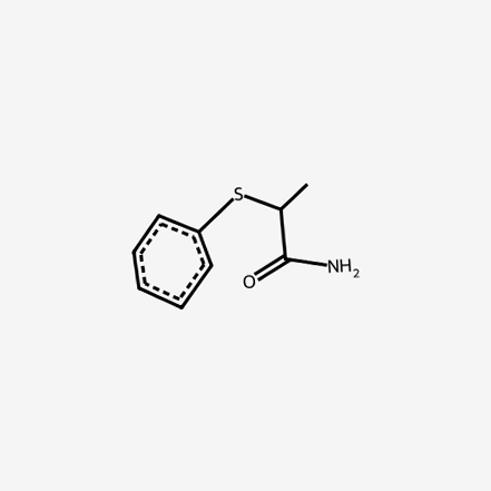 CC(Sc1ccccc1)C(N)=O